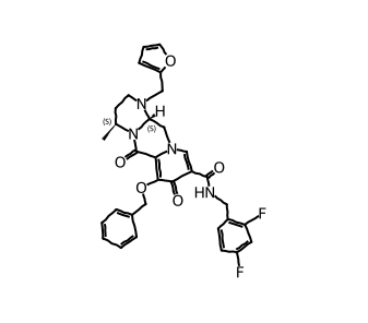 C[C@H]1CCN(Cc2ccco2)[C@@H]2Cn3cc(C(=O)NCc4ccc(F)cc4F)c(=O)c(OCc4ccccc4)c3C(=O)N12